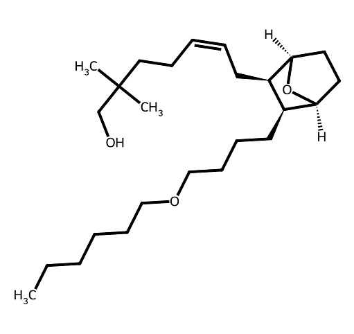 CCCCCCOCCCC[C@H]1[C@@H](C/C=C\CCC(C)(C)CO)[C@H]2CC[C@@H]1O2